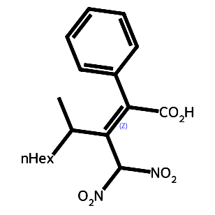 CCCCCCC(C)/C(=C(/C(=O)O)c1ccccc1)C([N+](=O)[O-])[N+](=O)[O-]